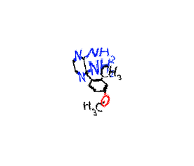 COc1ccc(C2(N)N=CC=NC2N)c(C)c1